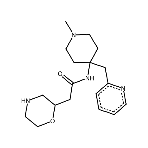 CN1CCC(Cc2ccccn2)(NC(=O)CC2CNCCO2)CC1